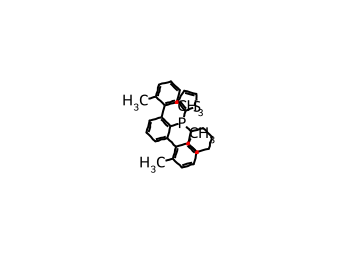 Cc1cccc(C)c1-c1cccc(-c2c(C)cccc2C)c1P(c1cccs1)C1CCCCC1